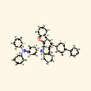 c1ccc(-c2ccc(-c3cc4c5ccccc5oc4c4c3c3ccccc3n4-c3ccc(N(c4ccccc4)c4ccccc4)cc3)cc2)cc1